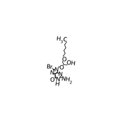 CCCCCCCOCC(CO)OCn1c(Br)nc2c(=O)[nH]c(N)nc21